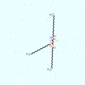 CCCCCCCCCCCCCCCC(=O)N[C@@H](CS)C(=O)[CH]C(COC(=O)CCCCCCCCCCCCCCC)OC(=O)CCCCCCCCCCCCCCC